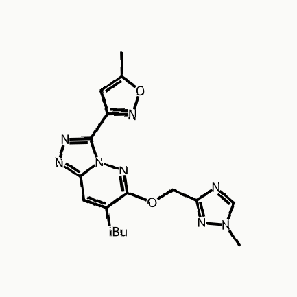 CCC(C)c1cc2nnc(-c3cc(C)on3)n2nc1OCc1ncn(C)n1